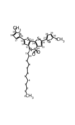 CCCCCCCCCCCCN1c2cc(-c3ccc(C)s3)sc2-c2sc(-c3ccc(C)s3)cc2S1(=O)=O